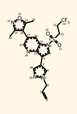 C=CCn1cc(-c2cn(S(=O)(=O)CCC(F)(F)F)c3cc(-c4c(C)noc4C)cnc23)cn1